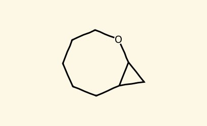 C1CCOC2CC2CC1